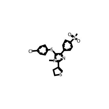 Cn1c(C2=CSCC2)nc(-c2ccc(S(C)(=O)=O)cc2)c1Sc1ccc(Cl)cc1